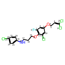 Fc1cc(OCC=C(Cl)Cl)cc(Cl)c1OCCCNc1ccc(Cl)cc1